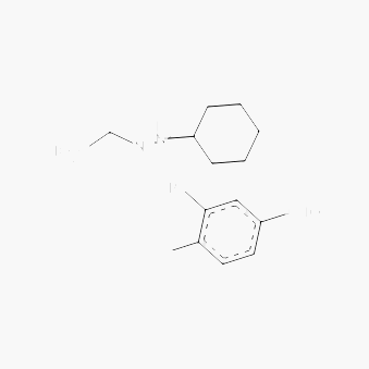 NC1CCCCC1.NCC(=O)O.O=Cc1ccc(F)c(Br)c1